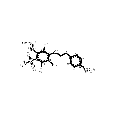 CCCCCCCNc1c(F)c(SCCc2ccc(C(=O)O)cc2)c(F)c(F)c1S(N)(=O)=O